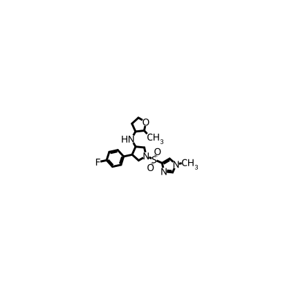 CC1OCCC1NC1CN(S(=O)(=O)c2cn(C)cn2)CC1c1ccc(F)cc1